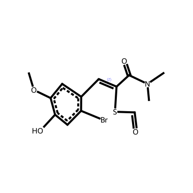 COc1cc(/C=C(\SC=O)C(=O)N(C)C)c(Br)cc1O